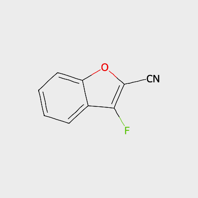 N#Cc1oc2ccccc2c1F